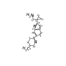 CC1CCC(c2ccc3sc(C4(CN)CC4)nc3c2)=NC1